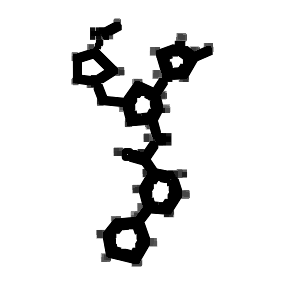 CN[C@H]1CCN(Cc2cc(NC(=O)c3cc(-c4ccccc4)ccn3)cc(-n3cnc(C)c3)c2)C1